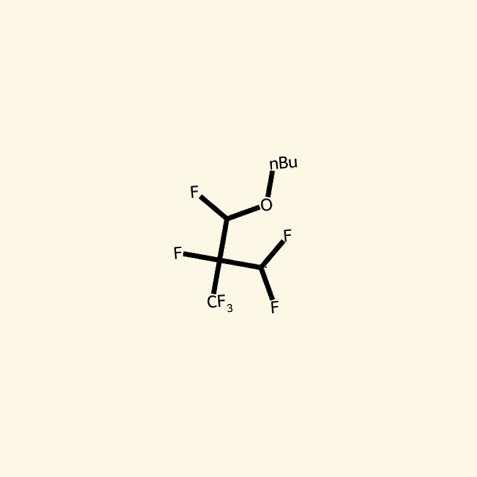 CCCCOC(F)C(F)([C](F)F)C(F)(F)F